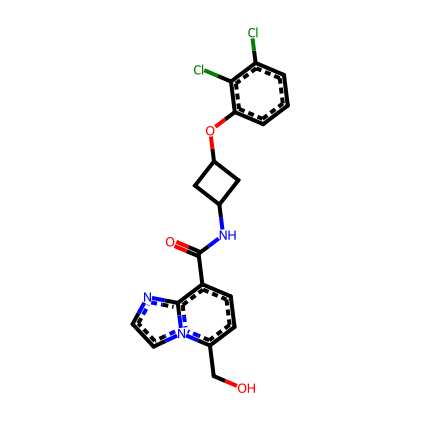 O=C(NC1CC(Oc2cccc(Cl)c2Cl)C1)c1ccc(CO)n2ccnc12